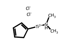 C[SiH](C)[Ti+2][C]1=CC=CC1.[Cl-].[Cl-]